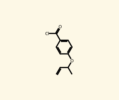 C=CC(C)Oc1ccc(C(=O)Cl)cc1